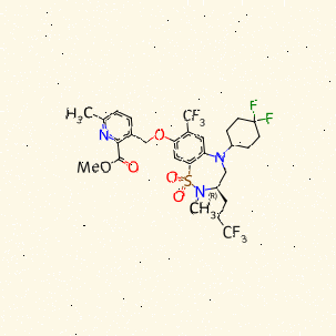 COC(=O)c1nc(C)ccc1COc1cc2c(cc1C(F)(F)F)N(C1CCC(F)(F)CC1)C[C@@H](CCC(F)(F)F)N(C)S2(=O)=O